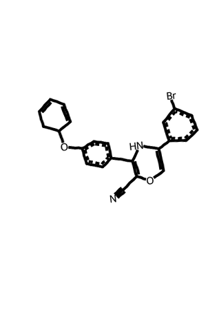 N#CC1=C(c2ccc(OC3C=CC=CC3)cc2)NC(c2cccc(Br)c2)=CO1